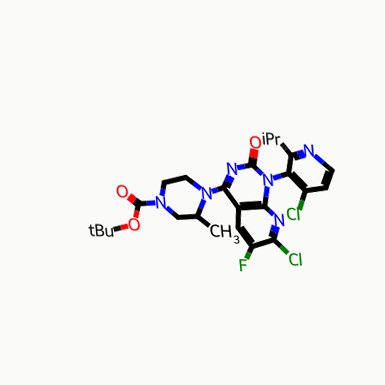 CC(C)c1nccc(Cl)c1-n1c(=O)nc(N2CCN(C(=O)OC(C)(C)C)CC2C)c2cc(F)c(Cl)nc21